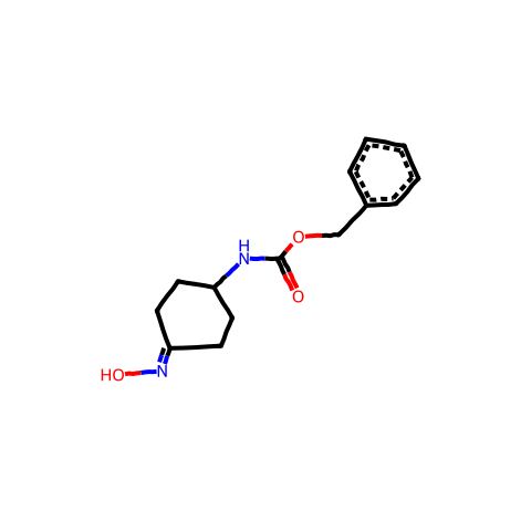 O=C(NC1CCC(=NO)CC1)OCc1ccccc1